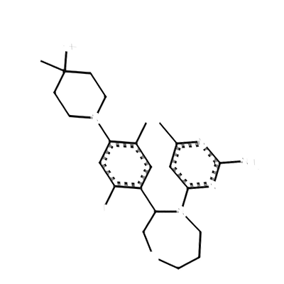 Cc1cc(N2CCCOCC2c2cc(C)c(N3CCC(C)(O)CC3)cc2Cl)nc(N)n1